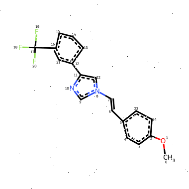 COc1ccc(C=Cn2cnc(-c3cccc(C(F)(F)F)c3)c2)cc1